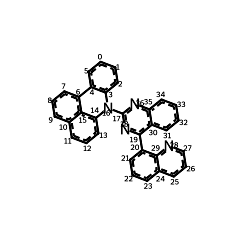 c1ccc2c(c1)-c1cccc3cccc(c13)N2c1nc(-c2cccc3cccnc23)c2ccccc2n1